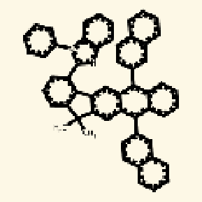 CC1(C)c2cc3c(-c4ccc5ccccc5c4)c4ccccc4c(-c4ccc5ccccc5c4)c3cc2-c2c(-c3nc4ccccc4n3-c3ccccc3)cccc21